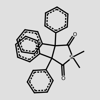 C[Si]1(C)C(=O)C(c2ccccc2)(c2ccccc2)C(c2ccccc2)(c2ccccc2)C1=O